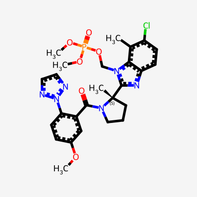 COc1ccc(-n2nccn2)c(C(=O)N2CCC[C@@]2(C)c2nc3ccc(Cl)c(C)c3n2COP(=O)(OC)OC)c1